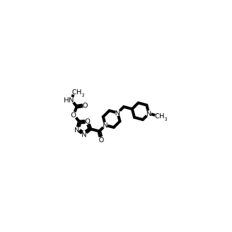 CNC(=O)Oc1nnc(C(=O)N2CCN(CC3CCN(C)CC3)CC2)o1